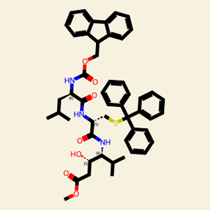 COC(=O)C[C@H](O)[C@H](NC(=O)[C@@H](CSC(c1ccccc1)(c1ccccc1)c1ccccc1)NC(=O)[C@@H](CC(C)C)NC(=O)OCC1c2ccccc2-c2ccccc21)C(C)C